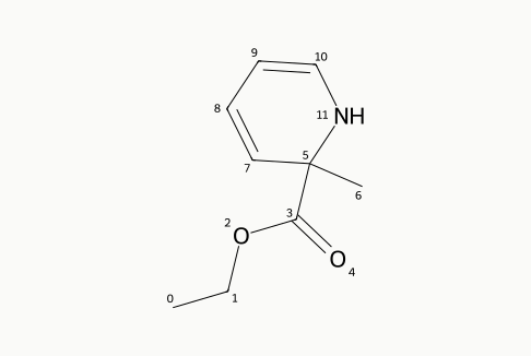 CCOC(=O)C1(C)C=CC=CN1